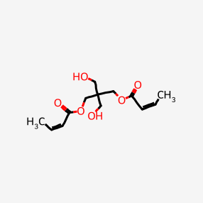 C/C=C\C(=O)OCC(CO)(CO)COC(=O)/C=C\C